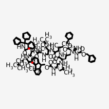 CC[C@H](C)[C@H](NC(=O)[C@@H](CCCN(C(=N)NC(=O)OCc1ccccc1)C(=O)OCc1ccccc1)NC(=O)[C@H](CC(C)C)NC(=O)OCC1c2ccccc2-c2ccccc21)C(=O)N[C@H](C(=O)NCC(=O)N[C@@H](CC(=O)NC(c1ccccc1)(c1ccccc1)c1ccccc1)C(=O)N[C@@H](COC(C)(C)C)C(=O)OC)[C@H](C)OC(C)(C)C